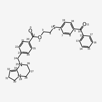 O=C(OCCSc1ccc(C(=O)c2ccccc2)cc1)c1ccc(CN2CCCN3CCC=C32)cc1